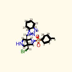 Cc1ccc(S(=O)(=O)N2C[C@]3(CBr)CNC[C@]3(Cn3nnc4ccccc43)C2)cc1